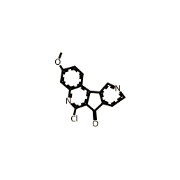 COc1ccc2c3c(c(Cl)nc2c1)C(=O)c1ccncc1-3